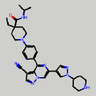 CCC1(C(=O)NC(C)C)CCN(c2ccc(-c3nc(-c4cnn(C5CCNCC5)c4)cn4ncc(C#N)c34)cc2)CC1